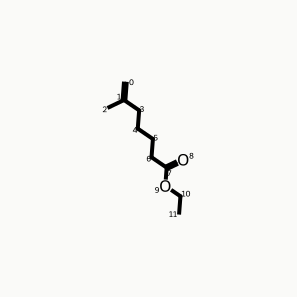 C=C(C)CCCCC(=O)OCC